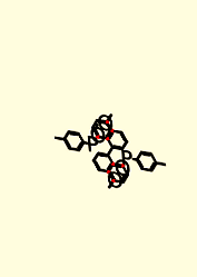 Cc1ccc(P(c2ccc(C)cc2)c2ccc3c(c2-c2c(P(c4ccc(C)cc4)c4ccc(C)cc4)ccc4c2OCO4)OCO3)cc1